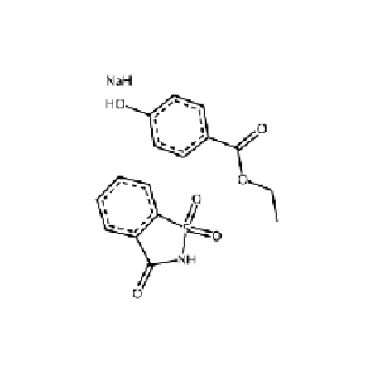 CCOC(=O)c1ccc(O)cc1.O=C1NS(=O)(=O)c2ccccc21.[NaH]